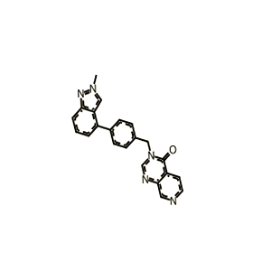 Cn1cc2c(-c3ccc(Cn4cnc5cnccc5c4=O)cc3)cccc2n1